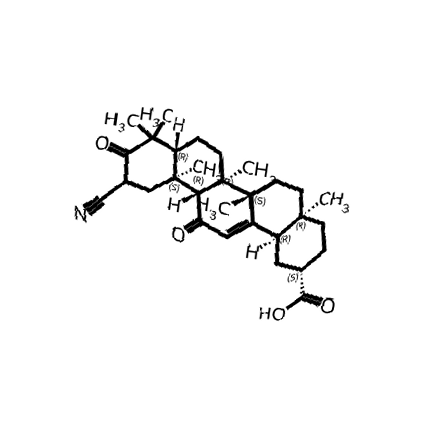 CC1(C)C(=O)C(C#N)C[C@]2(C)[C@H]3C(=O)C=C4[C@@H]5C[C@@H](C(=O)O)CC[C@]5(C)CC[C@@]4(C)[C@]3(C)CC[C@@H]12